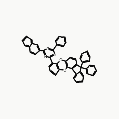 c1ccc(-c2nc(-c3ccc4ccccc4c3)nc(-c3cccc4c3Oc3ccc5c(c3O4)-c3ccccc3C5(c3ccccc3)c3ccccc3)n2)cc1